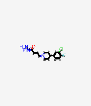 NNC(=O)CCCN1CCC(c2ccc(F)c(Cl)c2)CC1